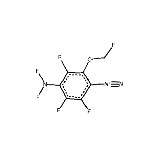 N#[N+]c1c(F)c(F)c(N(F)F)c(F)c1OCF